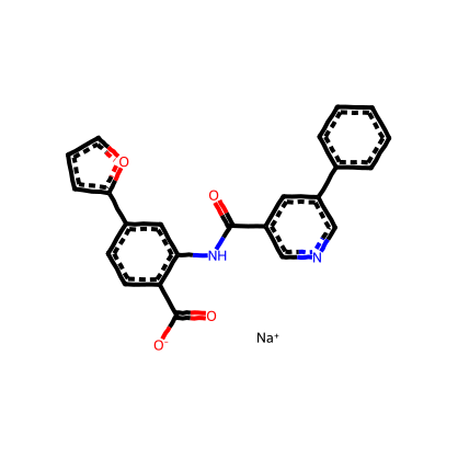 O=C(Nc1cc(-c2ccco2)ccc1C(=O)[O-])c1cncc(-c2ccccc2)c1.[Na+]